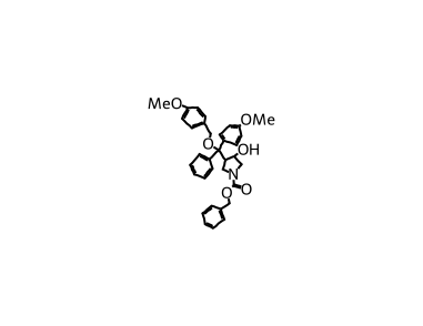 COc1ccc(COC(c2ccccc2)(c2ccc(OC)cc2)C2CN(C(=O)OCc3ccccc3)CC2O)cc1